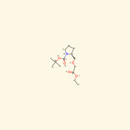 CCOC(=O)COC[C@@H]1CCCN1C(=O)OC(C)(C)C